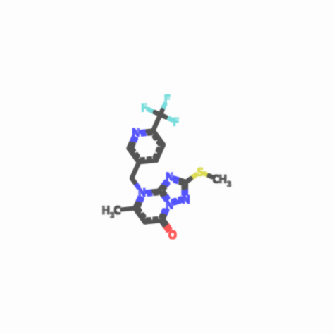 CSc1nc2n(Cc3ccc(C(F)(F)F)nc3)c(C)cc(=O)n2n1